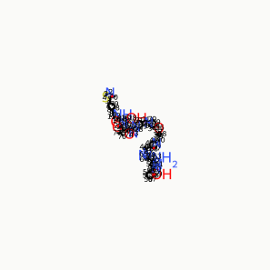 Cc1ncsc1-c1ccc([C@H](C)NC(=O)[C@@H]2C[C@@H](O)CN2C(=O)[C@@H](c2cc(N3CCC(CN4CCC(O[C@H]5C[C@@H](CN6CCC(C(C)n7cc(-c8cc(-c9ccccc9O)nnc8N)cn7)CC6)C5)CC4)CC3)no2)C(C)C)cc1